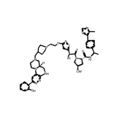 Cc1ncsc1-c1ccc(C(C)NC(=O)[C@@H]2C[C@@H](O)CN2C(=O)C(c2cc(OCCN3CCC(CN4CCN5c6cc(-c7ccccc7O)nnc6NC[C@H]5C4)CC3)no2)C(C)C)cc1